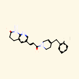 Cc1ccccc1CC1=CCN(C(=O)/C=C/c2cnc3c(c2)CCC(=O)N3)CC1